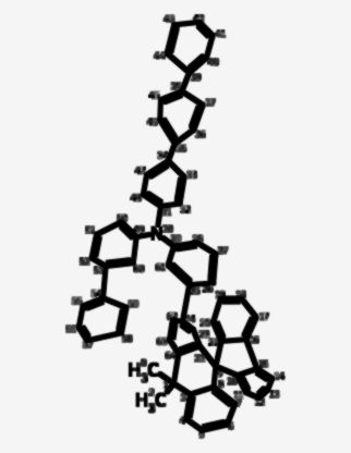 CC1(C)c2ccccc2C2(c3ccccc3-c3ccccc32)c2cc(-c3cccc(N(c4ccc(-c5ccc(-c6ccccc6)cc5)cc4)c4cccc(-c5ccccc5)c4)c3)ccc21